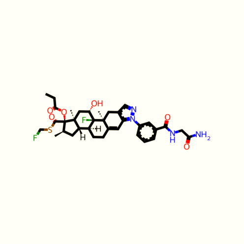 CCC(=O)O[C@]1(C(=O)SCF)[C@H](C)C[C@H]2[C@@H]3CCC4=Cc5c(cnn5-c5cccc(C(=O)NCC(N)=O)c5)C[C@]4(C)[C@@]3(F)[C@@H](O)C[C@@]21C